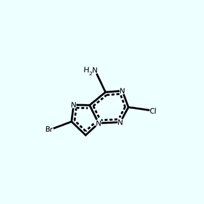 Nc1nc(Cl)nn2cc(Br)nc12